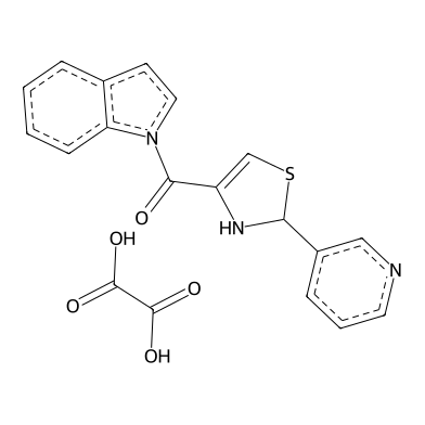 O=C(C1=CSC(c2cccnc2)N1)n1ccc2ccccc21.O=C(O)C(=O)O